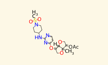 CC(=O)O[C@H]1CO[C@@H]2[C@@H](Oc3ccnc(NC4CCN(S(C)(=O)=O)CC4)n3)CO[C@]12C